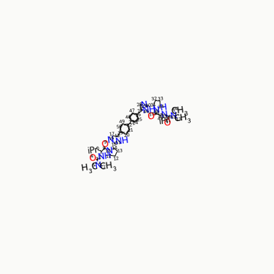 CC(C)[C@H](NC(=O)N(C)C)C(=O)N1CCC[C@H]1C1=NCC(c2ccc(-c3ccc(-c4cnc([C@@H]5CCCN5C(=O)[C@@H](NC(=O)N(C)C)C(C)C)[nH]4)cc3)cc2)N1